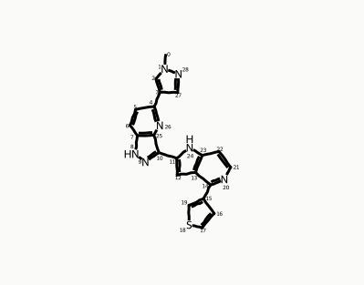 Cn1cc(-c2ccc3[nH]nc(-c4cc5c(-c6ccsc6)nccc5[nH]4)c3n2)cn1